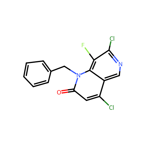 O=c1cc(Cl)c2cnc(Cl)c(F)c2n1Cc1ccccc1